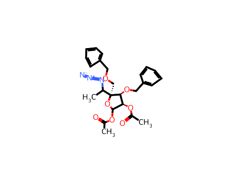 CC(=O)OC1O[C@@](COCc2ccccc2)(C(C)N=[N+]=[N-])[C@@H](OCc2ccccc2)[C@H]1OC(C)=O